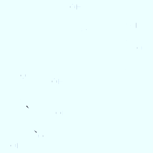 O=C(O)c1cccc2ccccc12.O=C(O)c1cccc2ccccc12.O=C1O[C@H]([C@@H](O)CO)C(O)=C1O